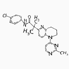 Cc1nccc(N2CCCc3nc(C(C)(C)C(=O)Nc4ccc(Cl)cc4)ccc32)n1